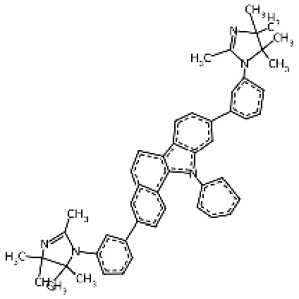 CC1=NC(C)(C)C(C)(C)N1c1cccc(-c2ccc3c(ccc4c5ccc(-c6cccc(N7C(C)=NC(C)(C)C7(C)C)c6)cc5n(-c5ccccc5)c34)c2)c1